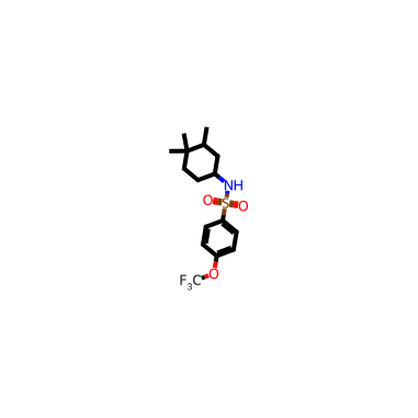 CC1CC(NS(=O)(=O)c2ccc(OC(F)(F)F)cc2)CCC1(C)C